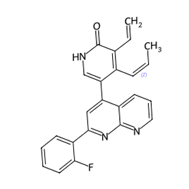 C=Cc1c(/C=C\C)c(-c2cc(-c3ccccc3F)nc3ncccc23)c[nH]c1=O